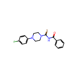 O=C(NC(=S)N1CCN(c2ccc(F)cc2)CC1)c1ccccc1